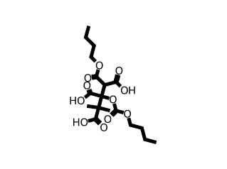 CCCCOC(=O)OC(C(=O)O)(C(C(=O)O)C(=O)OCCCC)C(C)(C)C(=O)O